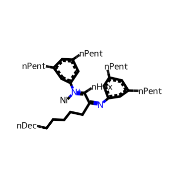 CCCCCCCCCCCCCCCC(=Nc1cc(CCCCC)cc(CCCCC)c1)C(CCCCCC)=[N+]([Ni])c1cc(CCCCC)cc(CCCCC)c1